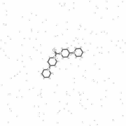 O=C(N1CCC(N2CCCCC2)CC1)N1CCC(N2CCCCC2)CC1